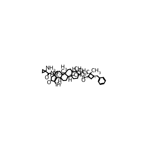 CC(C)C1=C2[C@H]3CC[C@@H]4[C@@]5(C)CC[C@H](OC(=O)[C@@H]6C[C@H](Cc7ccccc7)C6(C)C)C(C)(C)[C@@H]5CC[C@@]4(C)[C@]3(C)CC[C@@]2(NC(=O)C2(N)CC2)CC1=O